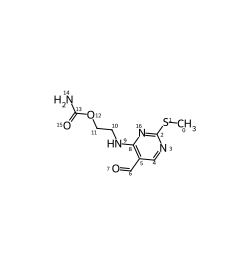 CSc1ncc(C=O)c(NCCOC(N)=O)n1